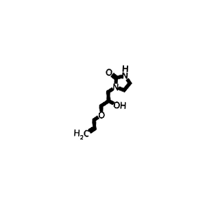 C=CCOCC(O)CN1CCNC1=O